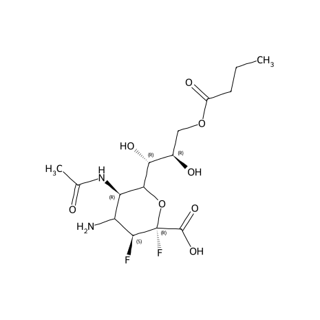 CCCC(=O)OC[C@@H](O)[C@@H](O)C1O[C@@](F)(C(=O)O)[C@@H](F)C(N)[C@H]1NC(C)=O